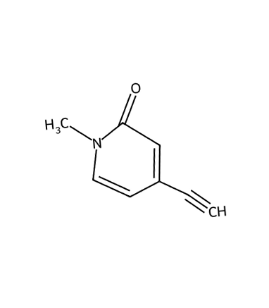 C#Cc1ccn(C)c(=O)c1